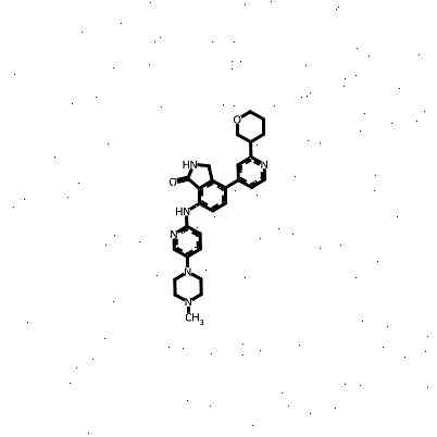 CN1CCN(c2ccc(Nc3ccc(-c4ccnc(C5CCCOC5)c4)c4c3C(=O)NC4)nc2)CC1